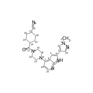 Cn1cc(-c2cc3c(N4CCN(C(=O)C5CCC(C#N)CC5)CC4)ccnc3[nH]2)cn1